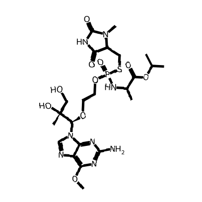 COc1nc(N)nc2c1ncn2[C@H](OCCOP(=O)(NC(C)C(=O)OC(C)C)SCC1C(=O)NC(=O)N1C)[C@](C)(O)CO